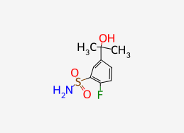 CC(C)(O)c1ccc(F)c(S(N)(=O)=O)c1